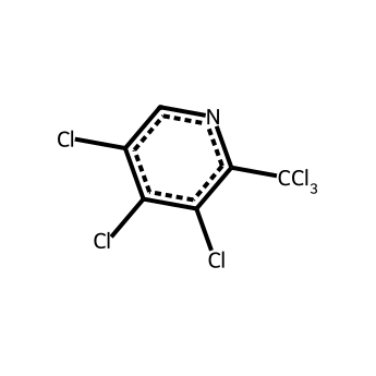 Clc1cnc(C(Cl)(Cl)Cl)c(Cl)c1Cl